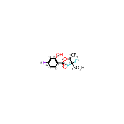 O=C(OC(C(F)(F)F)C(F)(F)S(=O)(=O)O)c1ccc(I)cc1O